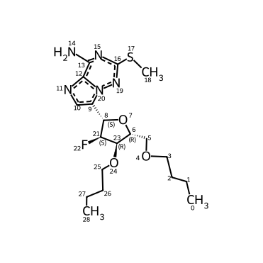 CCCCOC[C@H]1O[C@@H](c2cnc3c(N)nc(SC)nn23)[C@H](F)[C@@H]1OCCCC